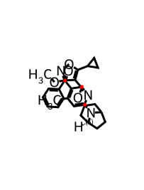 COC(=O)c1cnc(N2C3CC[C@H]2CC(OCc2c(-c4ccccc4)noc2C2CC2)C3)cc1C